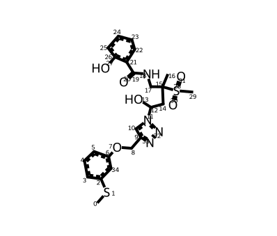 CSc1cccc(OCc2cn(C(O)CC(C)(CNC(=O)c3ccccc3O)S(C)(=O)=O)nn2)c1